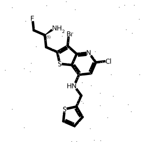 N[C@H](CF)Cc1sc2c(NCc3cccs3)cc(Cl)nc2c1Br